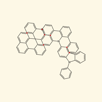 c1ccc(-c2cccc(-c3ccccc3)c2N(c2ccc3c(c2)Oc2ccccc2C32c3ccccc3-c3cccc4cccc2c34)c2ccc3c(c2)c2ccccc2n3-c2ccccc2)cc1